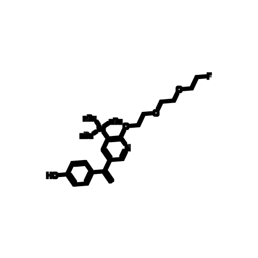 C=C(c1ccc(O)cc1)c1cnc(OCCOCCOCCF)[c]([Sn]([CH2]CCC)([CH2]CCC)[CH2]CCC)c1